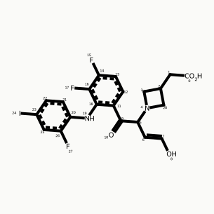 O=C(O)CC1CN(C(C=CO)C(=O)c2ccc(F)c(F)c2Nc2ccc(I)cc2F)C1